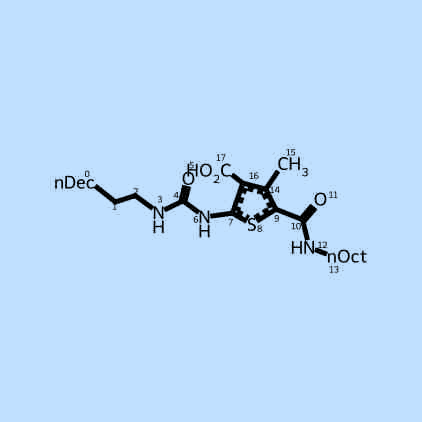 CCCCCCCCCCCCNC(=O)Nc1sc(C(=O)NCCCCCCCC)c(C)c1C(=O)O